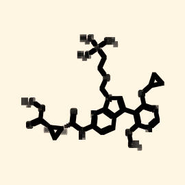 COC(=O)[C@@H]1C[C@H]1C(=O)Nc1ccc2c(-c3c(OC)ncnc3OC3CC3)cn(COCC[Si](C)(C)C)c2n1